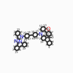 CC1(C)c2ccccc2-c2ccc(N(c3ccc(-c4ccc(-n5c6ccccc6c6nc7c8ccccc8c8ccccc8n7c65)cc4)cc3)c3cccc4oc5ccccc5c34)cc21